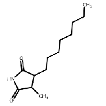 CCCCCCCCC1C(=O)NC(=O)C1C